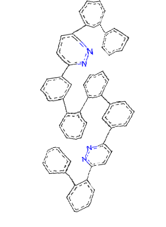 c1ccc(-c2ccccc2-c2ccc(-c3cccc(-c4ccccc4-c4ccccc4-c4cccc(-c5ccc(-c6ccccc6-c6ccccc6)nn5)c4)c3)nn2)cc1